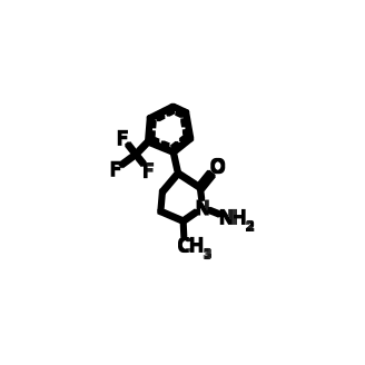 CC1CCC(c2ccccc2C(F)(F)F)C(=O)N1N